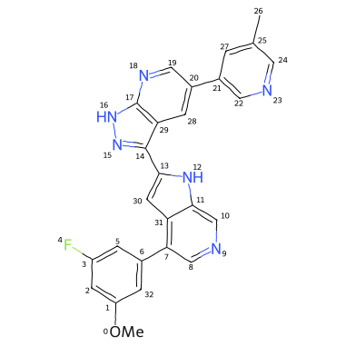 COc1cc(F)cc(-c2cncc3[nH]c(-c4n[nH]c5ncc(-c6cncc(C)c6)cc45)cc23)c1